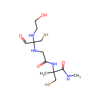 CNC(=O)C(C)(CS)NC(=O)CNC(C=O)(CS)NCCO